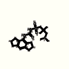 CN(C)CC(C)(C)CS(=O)(=O)NC(=O)Nc1c2c(cc3c1CCC3)CCC2